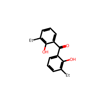 CCc1cccc(C(=O)c2cccc(CC)c2O)c1O